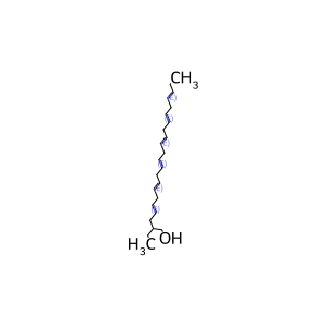 CC/C=C/C/C=C/C/C=C/C/C=C/C/C=C/C/C=C/CC(CC)CO